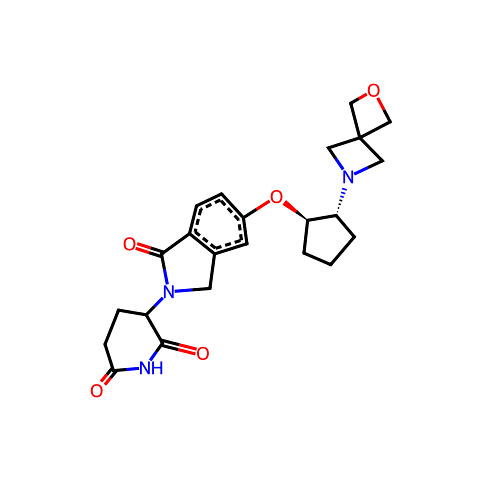 O=C1CCC(N2Cc3cc(O[C@@H]4CCC[C@H]4N4CC5(COC5)C4)ccc3C2=O)C(=O)N1